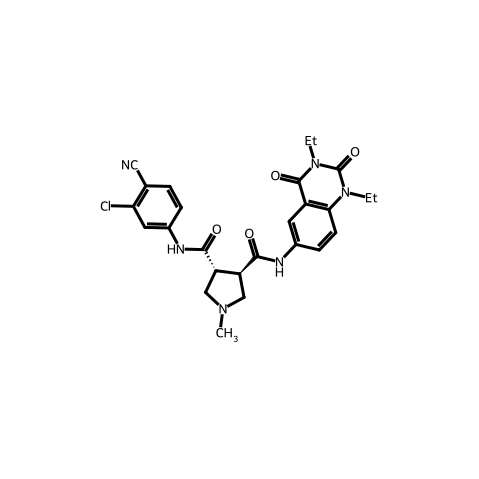 CCn1c(=O)c2cc(NC(=O)[C@H]3CN(C)C[C@@H]3C(=O)Nc3ccc(C#N)c(Cl)c3)ccc2n(CC)c1=O